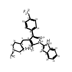 CC(=O)N1CCC(Cc2c(-c3ccc(C(F)(F)F)cc3)nn(-c3nc4ccccc4[nH]3)c2O)CC1